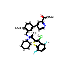 C=C(c1sc2c(F)ccc(F)c2c1Cl)N(Cc1cc(-c2ccnc(C(=O)NC)c2)ccc1OC)C1CCCCC1